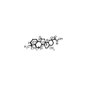 CC1(C(=O)NO)CC[C@]2(C)CC[C@]3(C)[C@H](CC(=O)[C@@H]4[C@@]5(C)CCCC(C)(C)C5CC[C@]43C)[C@H]2C1